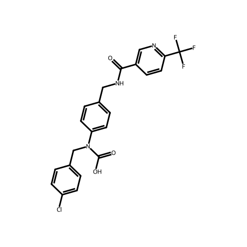 O=C(NCc1ccc(N(Cc2ccc(Cl)cc2)C(=O)O)cc1)c1ccc(C(F)(F)F)nc1